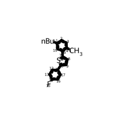 CCCCc1ccc(C)c(-c2ccc(-c3ccc(F)cc3)s2)c1